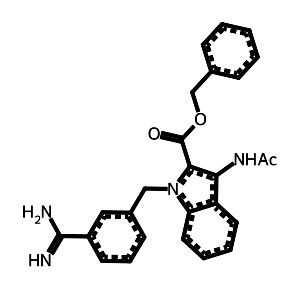 CC(=O)Nc1c(C(=O)OCc2ccccc2)n(Cc2cccc(C(=N)N)c2)c2ccccc12